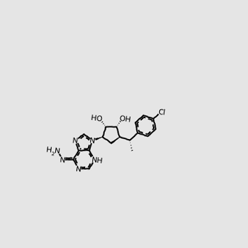 C[C@@H](c1ccc(Cl)cc1)[C@H]1C[C@@H](n2cnc3/c(=N\N)nc[nH]c32)[C@H](O)[C@@H]1O